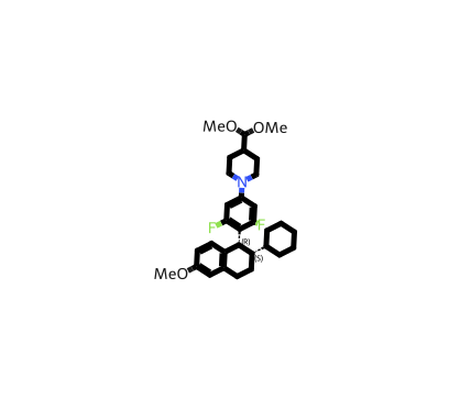 COc1ccc2c(c1)CC[C@@H](C1CCCCC1)[C@H]2c1c(F)cc(N2CCC(C(OC)OC)CC2)cc1F